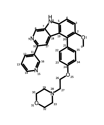 COc1ccc2[nH]c3cnc(-c4cccnc4)cc3c2c1-c1ccc(OCCN2CCOCC2)cc1